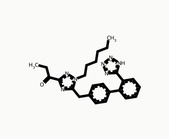 CCCCCCn1nc(C(=O)CC)nc1Cc1ccc(-c2ccccc2-c2nnn[nH]2)cc1